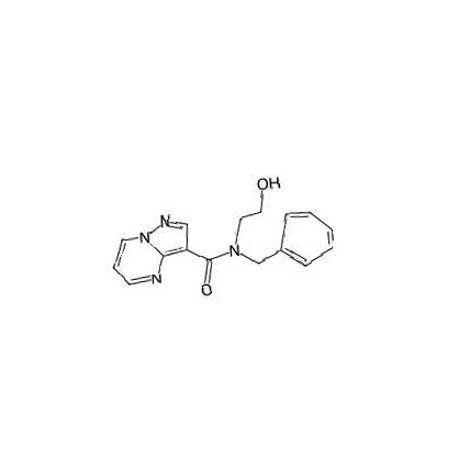 O=C(c1cnn2cccnc12)N(CCO)Cc1ccccc1